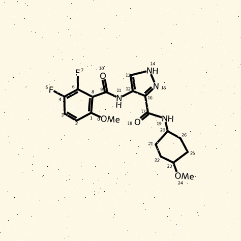 COc1ccc(F)c(F)c1C(=O)Nc1c[nH]nc1C(=O)NC1CCC(OC)CC1